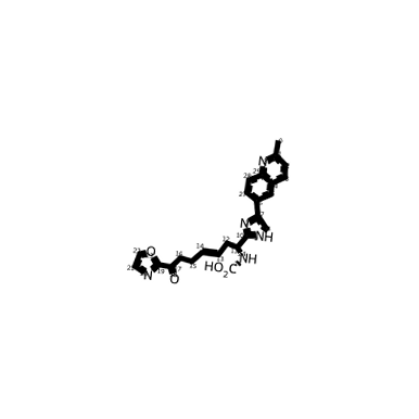 Cc1ccc2cc(-c3c[nH]c(C(CC=CCCC(=O)c4ncco4)NC(=O)O)n3)ccc2n1